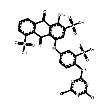 Nc1c(S(=O)(=O)O)cc(Nc2ccc(Nc3nc(Cl)nc(Cl)n3)c(S(=O)(=O)O)c2)c2c1C(=O)c1cccc(S(=O)(=O)O)c1C2=O